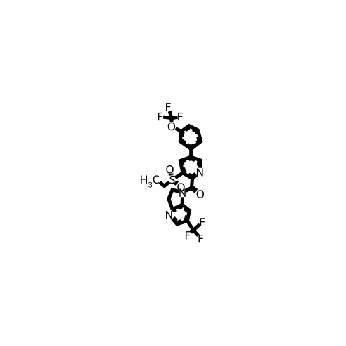 CCS(=O)(=O)c1cc(-c2cccc(OC(F)(F)F)c2)cnc1C(=O)N1CCc2ncc(C(F)(F)F)cc21